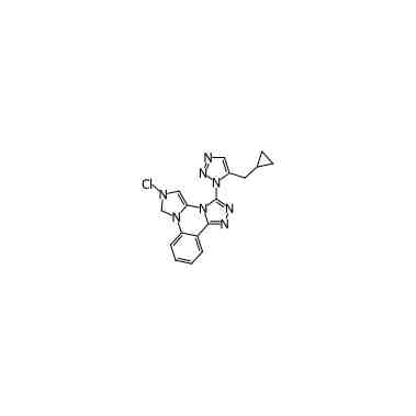 ClN1C=C2N(C1)c1ccccc1-c1nnc(-n3nncc3CC3CC3)n12